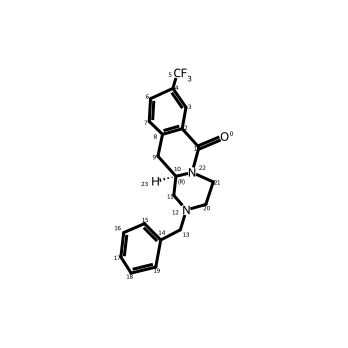 O=C1c2cc(C(F)(F)F)ccc2C[C@@H]2CN(Cc3ccccc3)CCN12